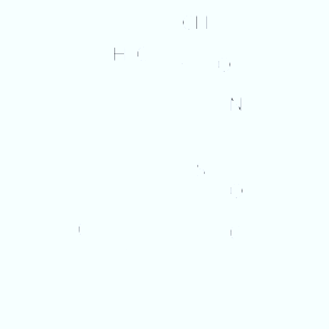 CC1(C)CC([S+]([O-])Cc2c(Cl)cccc2Cl)=NO1